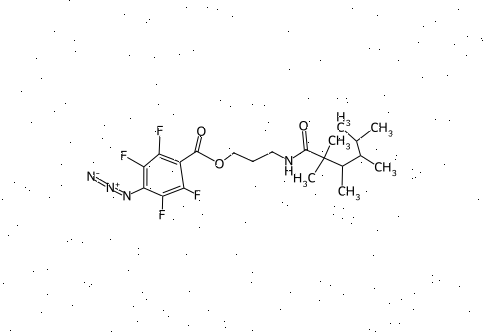 CC(C)C(C)C(C)C(C)(C)C(=O)NCCCOC(=O)c1c(F)c(F)c(N=[N+]=[N-])c(F)c1F